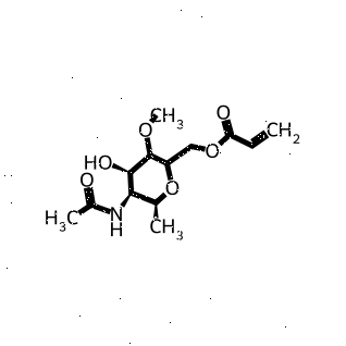 C=CC(=O)OCC1O[C@@H](C)[C@@H](NC(C)=O)[C@@H](O)C1OC